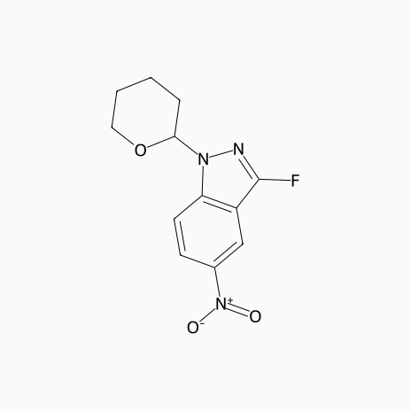 O=[N+]([O-])c1ccc2c(c1)c(F)nn2C1CCCCO1